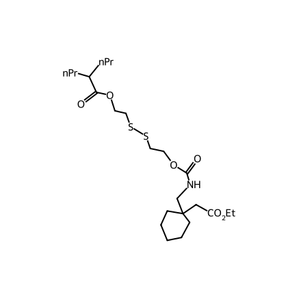 CCCC(CCC)C(=O)OCCSSCCOC(=O)NCC1(CC(=O)OCC)CCCCC1